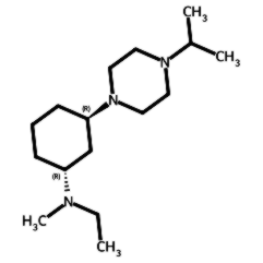 CCN(C)[C@@H]1CCC[C@@H](N2CCN(C(C)C)CC2)C1